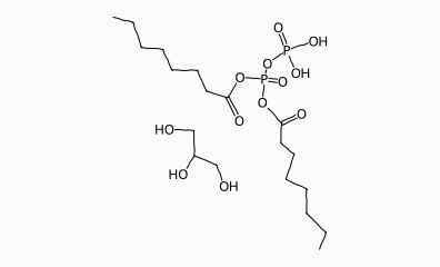 CCCCCCCC(=O)OP(=O)(OC(=O)CCCCCCC)OP(=O)(O)O.OCC(O)CO